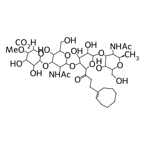 COC1C(C(=O)O)OC(OC2C(O)C(CO)OC(OC3C(C(=O)CC/C4=C/CCCCCC4)OC(OC4C(O)C(CO)O[C@H](C)C4NC(C)=O)C(O)C3O)C2NC(C)=O)C(O)C1O